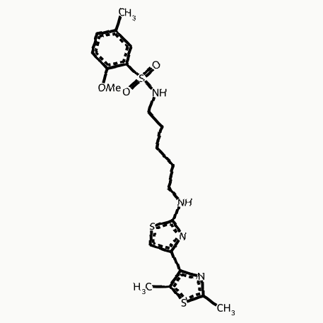 COc1ccc(C)cc1S(=O)(=O)NCCCCCNc1nc(-c2nc(C)sc2C)cs1